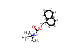 CC(C)(C)NC(=O)OCc1cccc2ccccc12